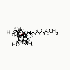 CCCCCCCCCCCCCC(=O)O[C@@]12C[C@@H](C)[C@]34O[C@@]35C=C(C)C(=O)[C@@]5(O)CC(CO)=CC4[C@H]1C2(C)C